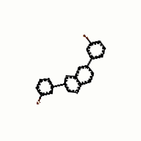 Brc1cccc(-c2ccc3ccc(-c4cccc(Br)c4)cc3c2)c1